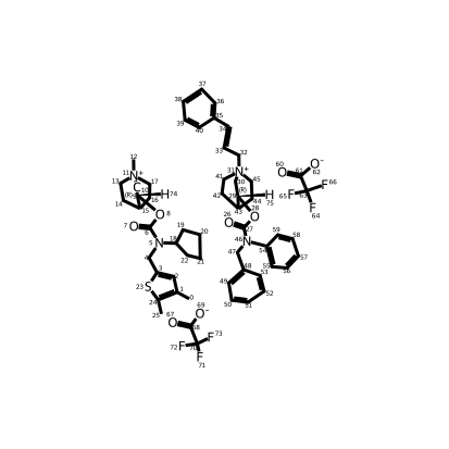 Cc1cc(CN(C(=O)O[C@H]2C[N+]3(C)CCC2CC3)C2CCCC2)sc1C.O=C(O[C@H]1C[N+]2(CC=Cc3ccccc3)CCC1CC2)N(Cc1ccccc1)c1ccccc1.O=C([O-])C(F)(F)F.O=C([O-])C(F)(F)F